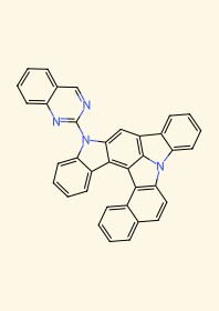 c1ccc2nc(-n3c4ccccc4c4c5c6c7ccccc7ccc6n6c7ccccc7c(cc43)c56)ncc2c1